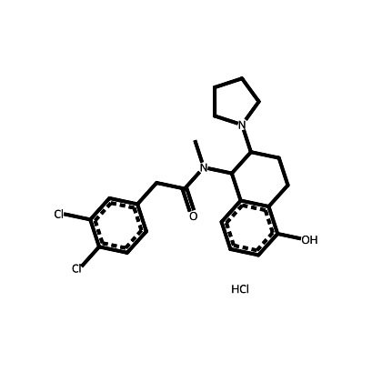 CN(C(=O)Cc1ccc(Cl)c(Cl)c1)C1c2cccc(O)c2CCC1N1CCCC1.Cl